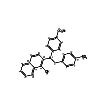 CCOC(=O)c1ccc(N(Cc2ccc([N+](=O)[O-])cc2)c2ccc3cccnc3c2O)cc1